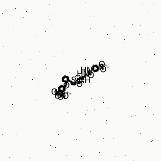 O=C(NCCNS(=O)(=O)c1ccc(-c2ccccc2Oc2ccc([N+](=O)[O-])c([N+](=O)[O-])c2)s1)Nc1ccc([N+](=O)[O-])cc1